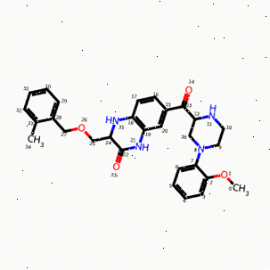 COc1ccccc1N1CCNC(C(=O)c2ccc3c(c2)NC(=O)C(COCc2ccccc2C)N3)C1